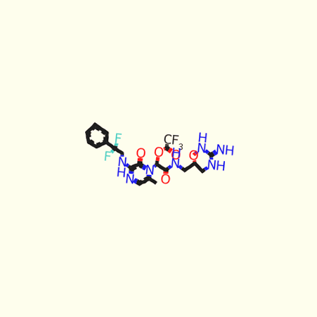 Cc1cnc(NCC(F)(F)c2ccccc2)c(=O)n1C(OC(=O)C(F)(F)F)C(=O)NCC1CNC(=N)NO1